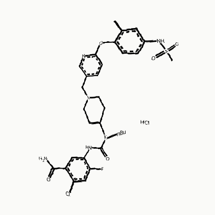 CCCCN(C(=O)Nc1cc(C(N)=O)c(Cl)cc1F)C1CCN(Cc2ccc(Oc3ccc(NS(C)(=O)=O)cc3C)nc2)CC1.Cl